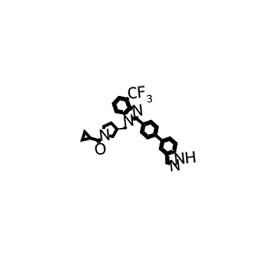 O=C(C1CC1)N1CC[C@@H](Cn2c(-c3ccc(-c4ccc5[nH]ncc5c4)cc3)nc3c(C(F)(F)F)cccc32)C1